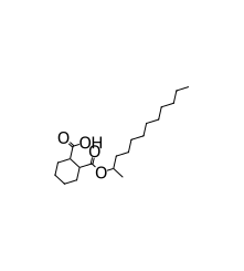 CCCCCCCCCCC(C)OC(=O)C1CCCCC1C(=O)O